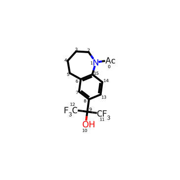 CC(=O)N1CCCCc2cc(C(O)(C(F)(F)F)C(F)(F)F)ccc21